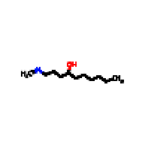 C=NCCCC(O)CCCCCC